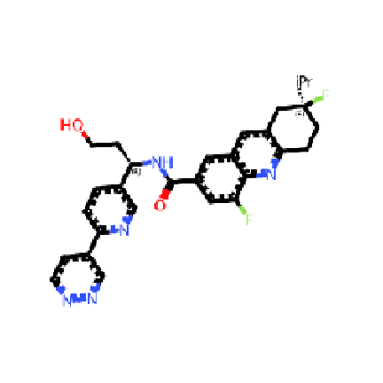 CC(C)[C@]1(F)CCc2nc3c(F)cc(C(=O)N[C@H](CCO)c4ccc(-c5ccnnc5)nc4)cc3cc2C1